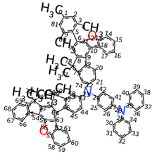 Cc1cc(C)c(-c2cc3c(c4c2oc2ccccc24)-c2ccc(N(c4ccc(N(c5ccccc5)c5ccccc5)cc4)c4ccc5c(c4)C(C)(C)c4c6c(c7oc8ccccc8c7c4-5)-c4ccccc4C6(C)C)cc2C3(C)C)c(C)c1